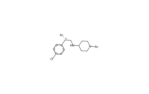 CC(=O)[C@H](CNC1CCN(C(C)=O)CC1)c1ccc(Cl)cc1